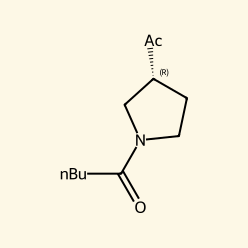 CCCCC(=O)N1CC[C@@H](C(C)=O)C1